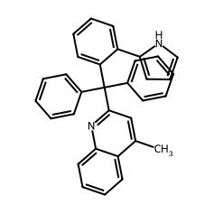 Cc1cc(C(c2ccccc2)(c2ccccc2)c2ccccc2-c2ccc[nH]2)nc2ccccc12